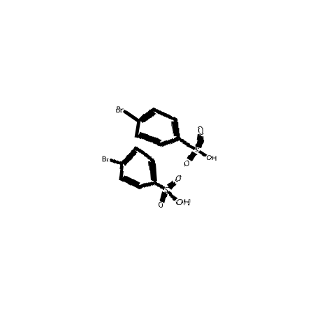 O=S(=O)(O)c1ccc(Br)cc1.O=S(=O)(O)c1ccc(Br)cc1